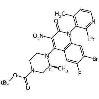 Cc1ccnc(C(C)C)c1-n1c(=O)c([N+](=O)[O-])c(N2CCN(C(=O)OC(C)(C)C)C[C@@H]2C)c2cc(F)c(Br)cc21